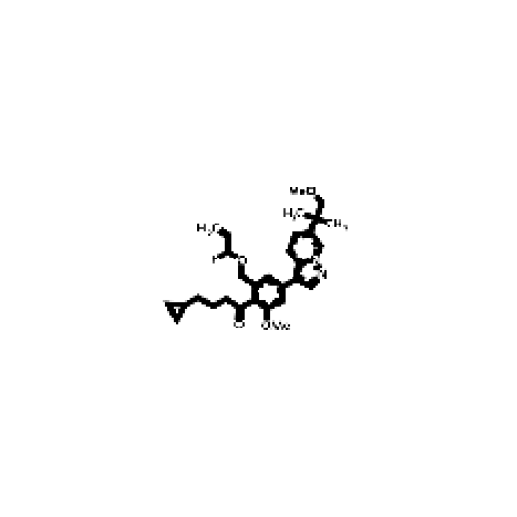 C=CC(F)OCc1cc(-c2cnn3cc(C(C)(C)COC)ccc23)cc(OC)c1C(=O)CCCC1CC1